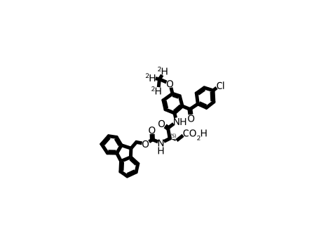 [2H]C([2H])([2H])Oc1ccc(NC(=O)[C@H](CC(=O)O)NC(=O)OCC2c3ccccc3-c3ccccc32)c(C(=O)c2ccc(Cl)cc2)c1